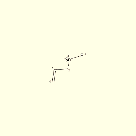 C=C[CH2][Sn][F]